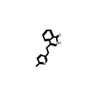 Cc1ccc(CCc2c[nH]c(=O)c3ccccc23)cn1